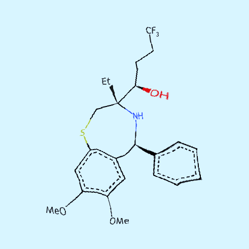 CC[C@]1([C@H](O)CCC(F)(F)F)CSc2cc(OC)c(OC)cc2[C@H](c2ccccc2)N1